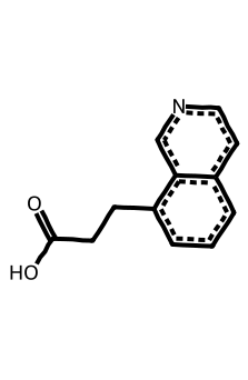 O=C(O)CCc1cccc2ccncc12